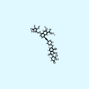 CC[C@@H]1[C@H](F)C(=O)N[C@@H]1COc1ncc(C#CC2CCN(Cc3ccc4c(c3Br)C(=O)N(C3CCC(=O)NC3=O)C4=O)CC2)c2cc(C(N)=O)c(OC)cc12